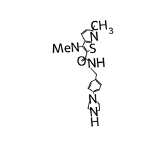 CNc1c(C(=O)NCCc2ccc(N3CCNCC3)cc2)sc2nc(C)ccc12